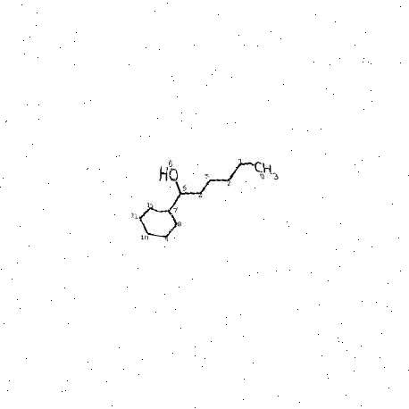 CCCCCC(O)C1CCCCC1